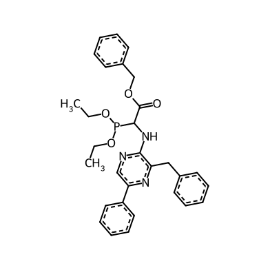 CCOP(OCC)C(Nc1ncc(-c2ccccc2)nc1Cc1ccccc1)C(=O)OCc1ccccc1